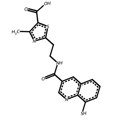 Cc1nc(CCNC(=O)c2cnc3c(S)cccc3c2)sc1C(=O)O